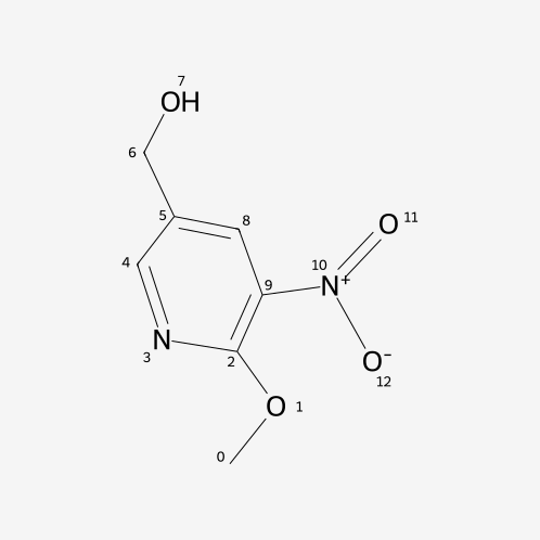 COc1ncc(CO)cc1[N+](=O)[O-]